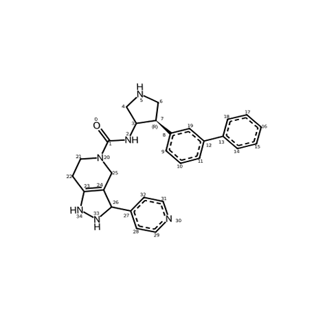 O=C(NC1CNC[C@H]1c1cccc(-c2ccccc2)c1)N1CCC2=C(C1)C(c1ccncc1)NN2